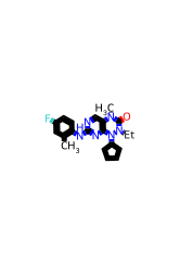 CCN1C(=O)N(C)c2cnc(Nc3ccc(F)cc3C)nc2N1C1CCCC1